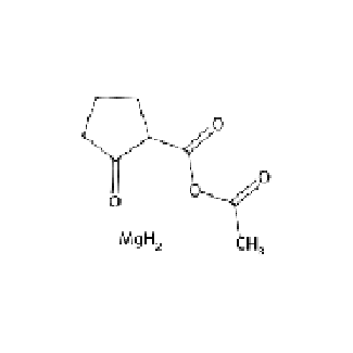 CC(=O)OC(=O)C1CCCC1=O.[MgH2]